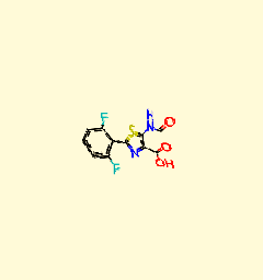 O=CNc1sc(-c2c(F)cccc2F)nc1C(=O)O